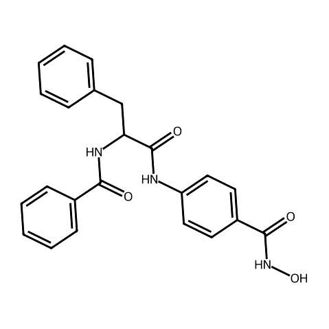 O=C(NO)c1ccc(NC(=O)C(Cc2ccccc2)NC(=O)c2ccccc2)cc1